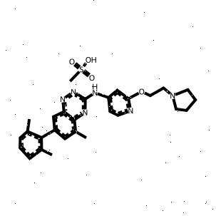 CS(=O)(=O)O.Cc1cccc(C)c1-c1cc(C)c2nc(Nc3ccnc(OCCN4CCCC4)c3)nnc2c1